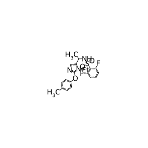 CCn1c(C(C)NS(=O)(=O)c2c(F)cccc2F)cnc1Oc1ccc(C)cc1